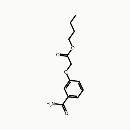 CCCCOC(=O)COc1cccc(C(N)=O)c1